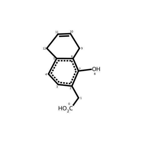 O=C(O)Cc1ccc2c(c1O)CC=CC2